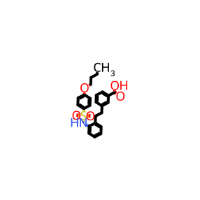 CCCCOc1ccc(S(=O)(=O)Nc2ccccc2CCc2cccc(C(=O)O)c2)cc1